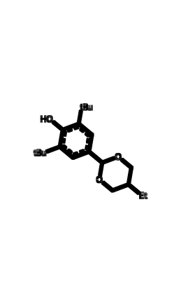 CCC1COC(c2cc(C(C)(C)C)c(O)c(C(C)(C)C)c2)OC1